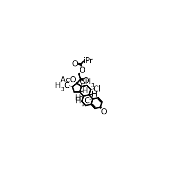 CC(=O)O[C@]1(C(=O)COC(=O)C(C)C)[C@@H](C)C[C@H]2[C@@H]3CCC4=CC(=O)C=C[C@]4(C)[C@H]3[C@@H](Cl)C[C@@]21C